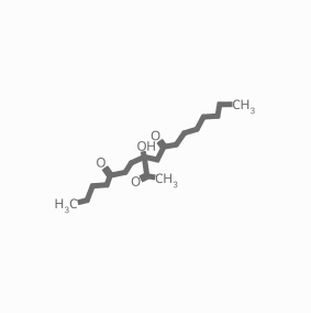 CCCCCCCC(=O)CC(O)(CCC(=O)CCCC)C(C)=O